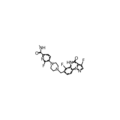 CNC(=O)c1ccc(N2CCN(Cc3ccc4c([nH]c(=O)c5c(F)cnn54)c3F)CC2)c(F)n1